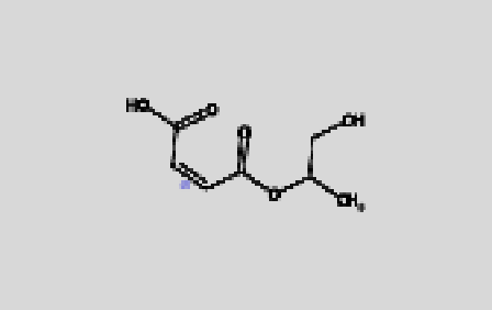 CC(CO)OC(=O)/C=C\C(=O)O